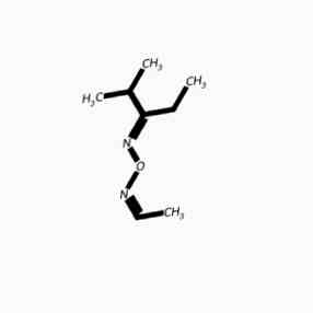 C/C=N\O/N=C(\CC)C(C)C